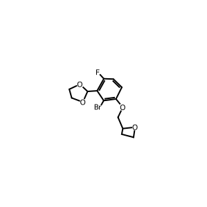 Fc1ccc(OCC2CCO2)c(Br)c1C1OCCO1